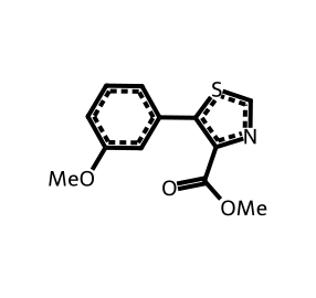 COC(=O)c1ncsc1-c1cccc(OC)c1